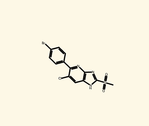 CS(=O)(=O)c1nc2nc(-c3ccc(Br)cc3)c(Cl)cc2[nH]1